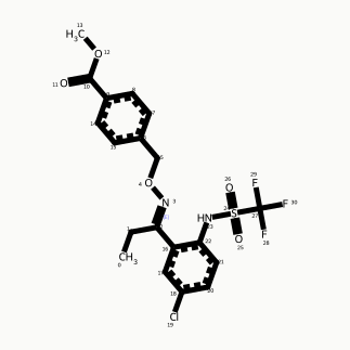 CC/C(=N\OCc1ccc(C(=O)OC)cc1)c1cc(Cl)ccc1NS(=O)(=O)C(F)(F)F